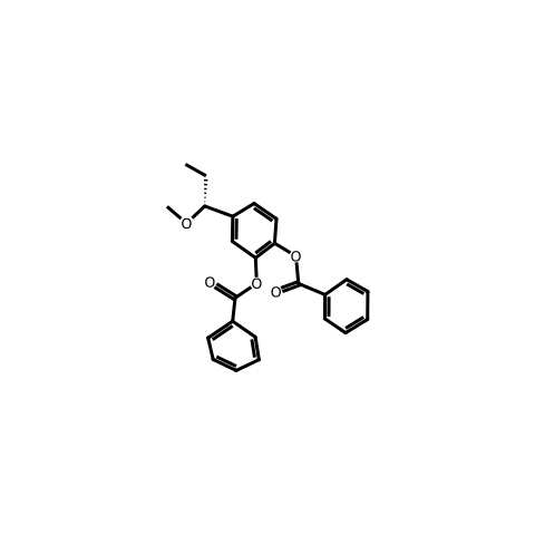 CC[C@@H](OC)c1ccc(OC(=O)c2ccccc2)c(OC(=O)c2ccccc2)c1